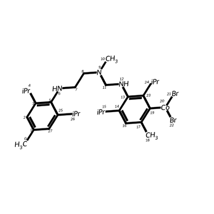 Cc1cc(C(C)C)c(NCCN(C)CNc2c(C(C)C)cc(C)[c]([Co]([Br])[Br])c2C(C)C)c(C(C)C)c1